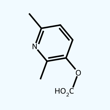 Cc1ccc(OC(=O)O)c(C)n1